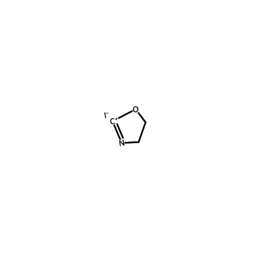 [C+]1=NCCO1.[I-]